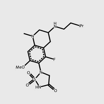 COc1cc2c(c(F)c1N1CC(=O)NS1(=O)=O)CC(NCCC(C)C)CN2C